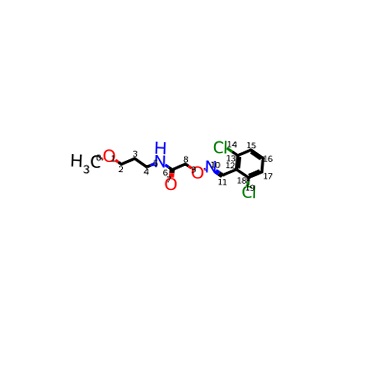 COCCCNC(=O)CON=Cc1c(Cl)cccc1Cl